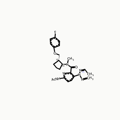 C=NN(/N=C\C)c1ccc(NC(C)=O)nc1C(=O)N(C)[C@H]1CCC[C@@H]1COc1ccc(F)cc1